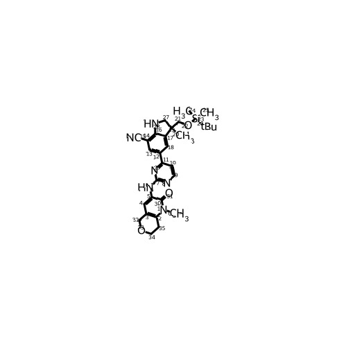 Cn1c2c(cc(Nc3nccc(-c4cc(C#N)c5c(c4)[C@@](C)(CO[Si](C)(C)C(C)(C)C)CN5)n3)c1=O)COCC2